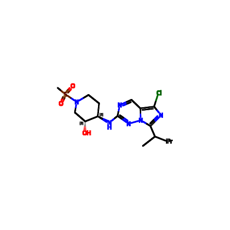 CC(C)C(C)c1nc(Cl)c2cnc(N[C@@H]3CCN(S(C)(=O)=O)C[C@H]3O)nn12